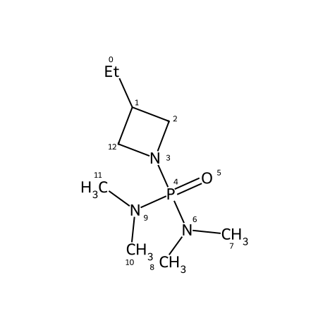 CCC1CN(P(=O)(N(C)C)N(C)C)C1